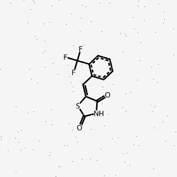 O=C1NC(=O)/C(=C\c2ccccc2C(F)(F)F)S1